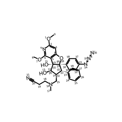 COc1cc2c(c(OC)n1)[C@]1(O)[C@H](O)[C@H](CN(C)CCC#N)[C@@H](c3ccccc3)[C@]1(c1ccc(N=[N+]=[N-])cc1)O2